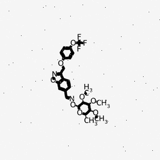 CO[C@H]1[C@@H](OC)[C@H](C)O[C@@H](O/N=C/c2ccc3c(COc4ccc(OC(F)(F)F)cc4)noc3c2)[C@@H]1OC